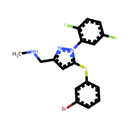 CNCc1cc(Sc2cccc(Br)c2)n(-c2cc(F)ccc2F)n1